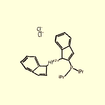 CC(C)P(C1=Cc2ccccc2[CH]1[Hf+2][CH]1C=Cc2ccccc21)C(C)C.[Cl-].[Cl-]